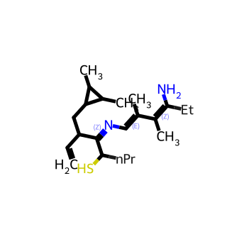 C=CC(CC1C(C)C1C)/C(=N/C=C(C)/C(C)=C(\N)CC)C(S)CCC